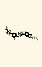 CN1Cc2ccc(-c3cn(Cc4ccc(-c5nnc(C(F)F)o5)cc4F)nn3)cc2C1